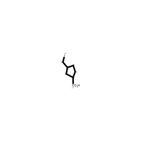 O=C(O)C1CCC(CI)C1